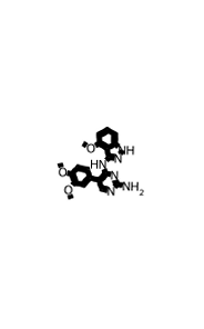 COc1ccc(-c2cnc(N)nc2Nc2n[nH]c3cccc(OC)c23)cc1OC